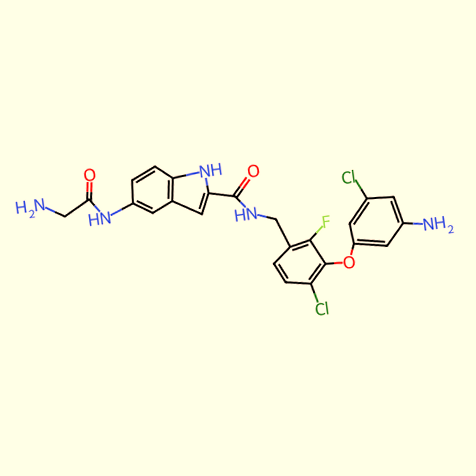 NCC(=O)Nc1ccc2[nH]c(C(=O)NCc3ccc(Cl)c(Oc4cc(N)cc(Cl)c4)c3F)cc2c1